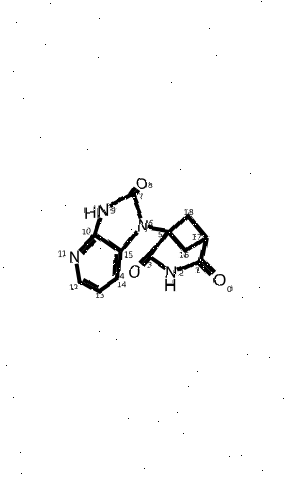 O=C1NC(=O)C2(n3c(=O)[nH]c4ncccc43)CC1C2